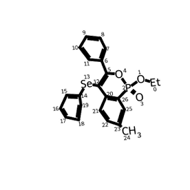 CCOP1(=O)OC(c2ccccc2)=C([Se]c2ccccc2)c2ccc(C)cc21